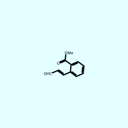 COC(=O)c1ccccc1/C=C/C=O